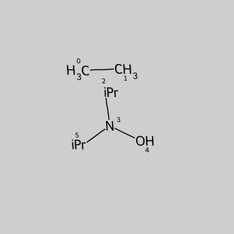 CC.CC(C)N(O)C(C)C